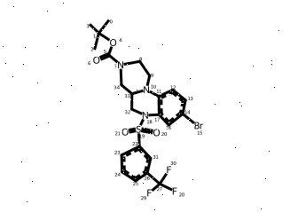 CC(C)(C)OC(=O)N1CCN2c3ccc(Br)cc3N(S(=O)(=O)c3cccc(C(F)(F)F)c3)CC2C1